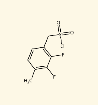 Cc1ccc(CS(=O)(=O)Cl)c(F)c1F